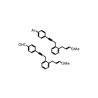 CO/C=C/Cc1ccccc1CC#Cc1ccc(C(C)=O)cc1.CO/C=C/Cc1ccccc1CC#Cc1ccc(C=O)cc1